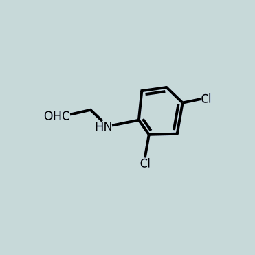 O=CCNc1ccc(Cl)cc1Cl